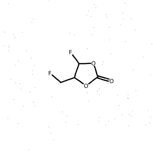 O=C1OC(F)C(CF)O1